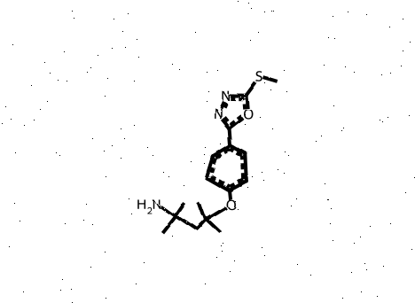 CSc1nnc(-c2ccc(OC(C)(C)CC(C)(C)N)cc2)o1